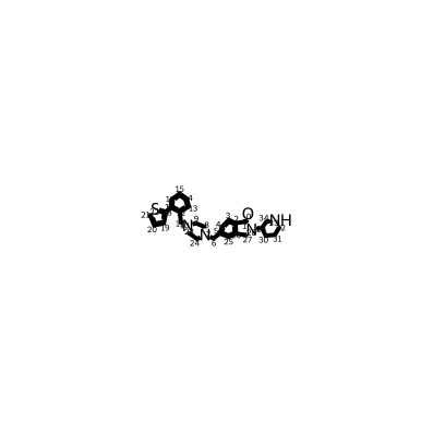 O=C1c2ccc(CN3CCN(Cc4ccccc4-c4cccs4)CC3)cc2CN1C1CCCNC1